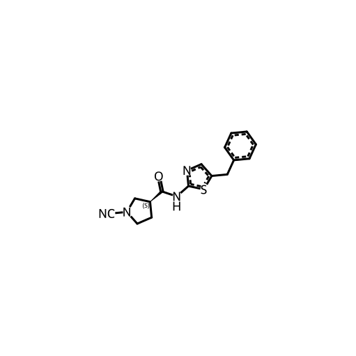 N#CN1CC[C@H](C(=O)Nc2ncc(Cc3ccccc3)s2)C1